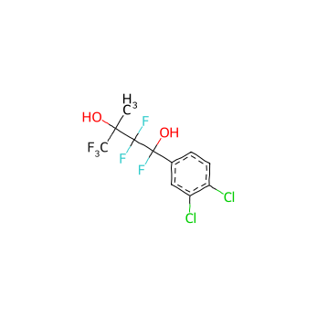 CC(O)(C(F)(F)F)C(F)(F)C(O)(F)c1ccc(Cl)c(Cl)c1